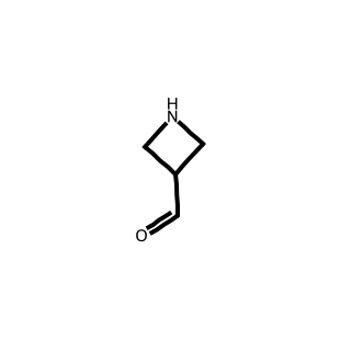 O=CC1CNC1